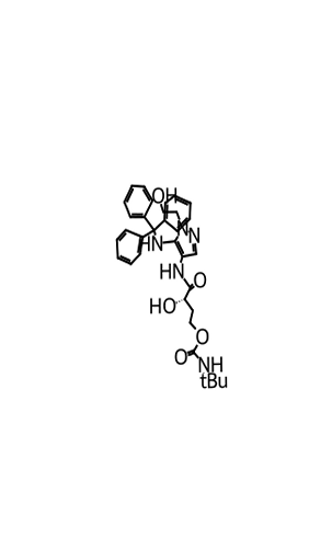 CC(C)(C)NC(=O)OCC[C@H](O)C(=O)Nc1cnn(CCO)c1NC(c1ccccc1)(c1ccccc1)c1ccccc1